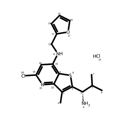 Cc1c([C@@H](N)C(C)C)sc2c(NCc3ccco3)cc(Cl)nc12.Cl